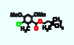 COc1cc(OC)c(C(=O)OCC[Si](C)(C)C)c(C)c1Cl